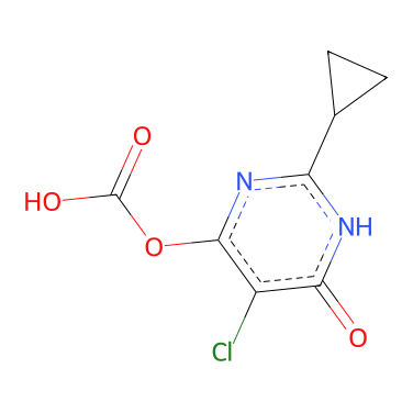 O=C(O)Oc1nc(C2CC2)[nH]c(=O)c1Cl